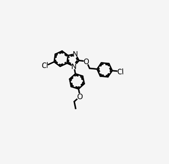 CCOc1ccc(-n2c(OCc3ccc(Cl)cc3)nc3ccc(Cl)cc32)cc1